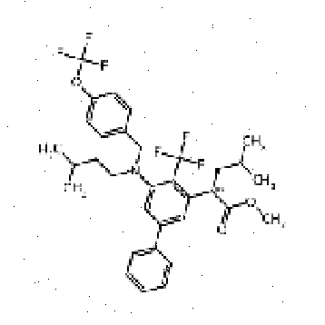 COC(=O)[C@H](CC(C)C)c1cc(-c2ccccc2)cc(N(CCC(C)C)Cc2ccc(OC(F)(F)F)cc2)c1C(F)(F)F